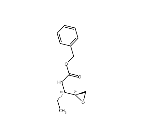 CC[C@H](NC(=O)OCc1ccccc1)[C@H]1CO1